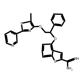 Cc1sc(-c2cccnc2)nc1OCC(Oc1cccc2sc(C(=N)N)cc12)c1ccccc1